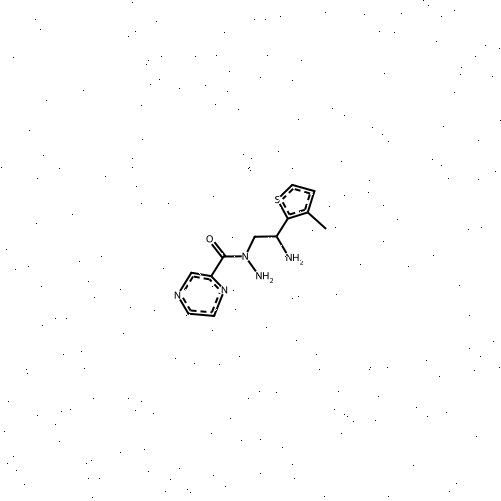 Cc1ccsc1C(N)CN(N)C(=O)c1cnccn1